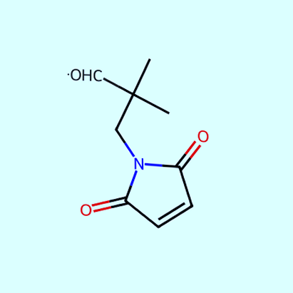 CC(C)([C]=O)CN1C(=O)C=CC1=O